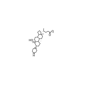 COC(=O)CCC(C)[C@H]1CCC2C3C[C@@H](O)[C@@H]4CC(N5CCNCC5)CC[C@]4(C)C3CCC21C